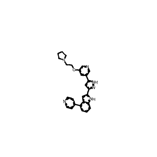 c1cc(-c2ccncc2)c2cc(-c3cc(-c4cncc(OCCN5CCCC5)c4)[nH]n3)[nH]c2c1